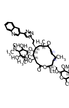 CC[C@H]1OC(=O)C[C@@H](O)[C@H](C)[C@@H](O[C@@H]2O[C@H](C)[C@@H](O)C(N(C)C)C2O)[C@@H](CCn2cc(-c3cnc4ccccc4c3)nn2)C[C@@H](C)C(=O)/C=C/C(C)=C/[C@@H]1CO[C@@H]1OC(C)[C@@H](O)[C@H](OC)C1OC